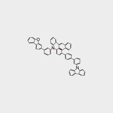 c1cc(-c2ccc3c(c2)oc2ccccc23)cc(N(c2ccc(-c3ccc(-c4cccc(-n5c6ccccc6c6ccccc65)c4)cc3)cc2)c2ccccc2-c2ccc3ccccc3c2)c1